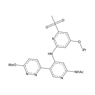 COc1ccc(-c2cnc(NC(C)=O)cc2Nc2cc(OC(C)C)cc(S(C)(=O)=O)n2)nn1